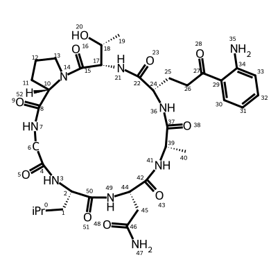 CC(C)C[C@@H]1NC(=O)CNC(=O)[C@@H]2CCCN2C(=O)[C@H]([C@@H](C)O)NC(=O)[C@H](CCC(=O)c2ccccc2N)NC(=O)[C@H](C)NC(=O)[C@H](CC(N)=O)NC1=O